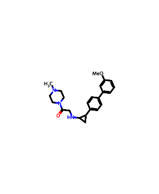 COc1cccc(-c2ccc(C3CC3NCC(=O)N3CCN(C)CC3)cc2)c1